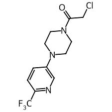 O=C(CCl)N1CCN(c2ccc(C(F)(F)F)nc2)CC1